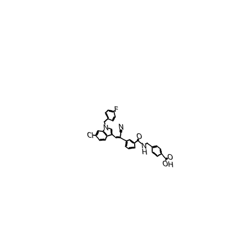 N#CC(=Cc1cn(Cc2ccc(F)cc2)c2cc(Cl)ccc12)c1cccc(C(=O)NCc2ccc(C(=O)O)cc2)c1